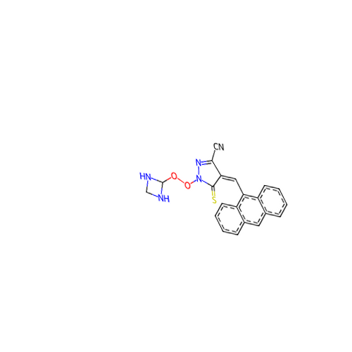 N#CC1=NN(OOC2NCN2)C(=S)/C1=C\c1c2ccccc2cc2ccccc12